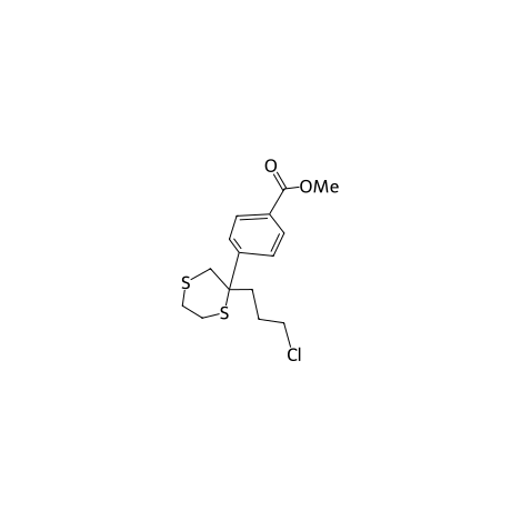 COC(=O)c1ccc(C2(CCCCl)CSCCS2)cc1